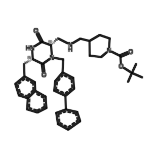 CC(C)(C)OC(=O)N1CCC(CNC[C@H]2C(=O)N[C@@H](Cc3ccc4ccccc4c3)C(=O)N2Cc2ccc(-c3ccccc3)cc2)CC1